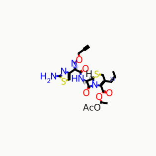 C#CCO/N=C(\C(=O)N[C@@H]1C(=O)N2C(C(=O)OC(C)OC(C)=O)=C(/C=C\C)CS[C@@H]12)c1csc(N)n1